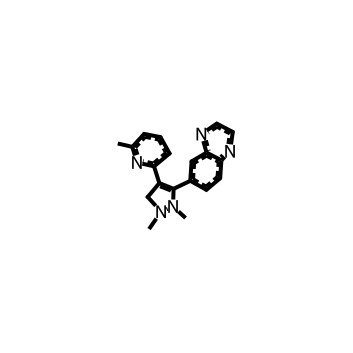 Cc1cccc(C2=C(c3ccc4nccnc4c3)N(C)N(C)C2)n1